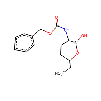 O=C(O)CC1CCC(NC(=O)OCc2ccccc2)B(O)O1